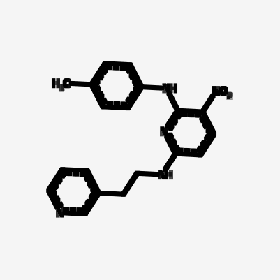 Cc1ccc(Nc2nc(NCCc3cccnc3)ccc2[N+](=O)[O-])cc1